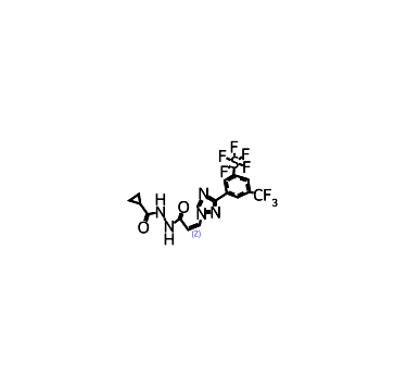 O=C(/C=C\n1cnc(-c2cc(C(F)(F)F)cc(S(F)(F)(F)(F)F)c2)n1)NNC(=O)C1CC1